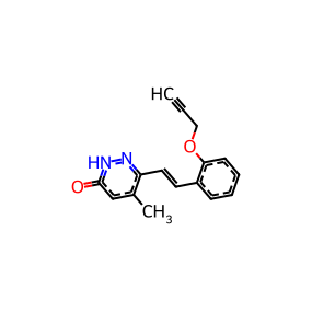 C#CCOc1ccccc1/C=C/c1n[nH]c(=O)cc1C